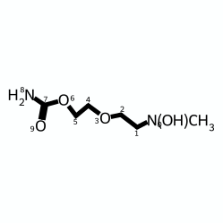 CN(O)CCOCCOC(N)=O